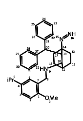 COc1ccc(C(C)C)cc1CNC1C2CCC(N=N)(CC2)C1C(c1ccccc1)c1ccccc1